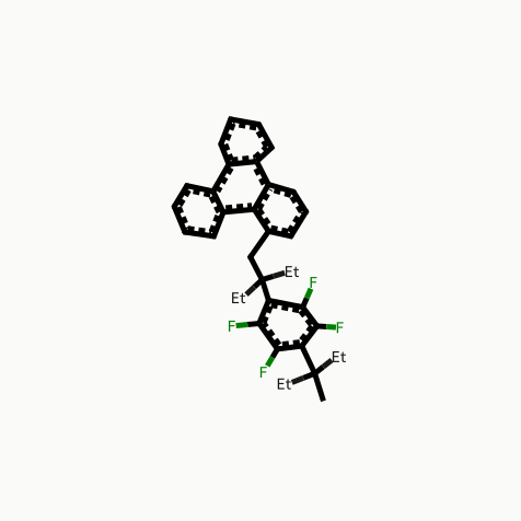 CCC(C)(CC)c1c(F)c(F)c(C(CC)(CC)Cc2cccc3c4ccccc4c4ccccc4c23)c(F)c1F